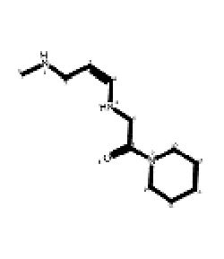 CNC/C=C\NCC(=O)N1CCCCC1